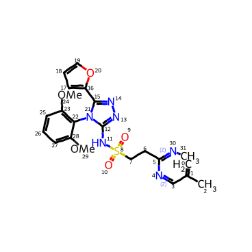 C=C(C)/C=N\C(CCS(=O)(=O)Nc1nnc(-c2ccco2)n1-c1c(OC)cccc1OC)=N/C